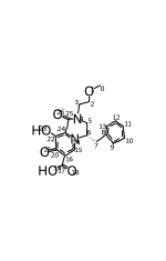 COCCN1C[C@H](Cc2ccccc2)n2cc(C(=O)O)c(=O)c(O)c2C1=O